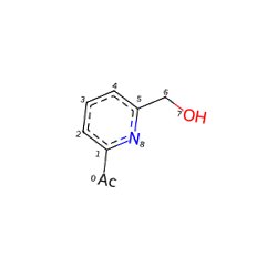 CC(=O)c1cccc(CO)n1